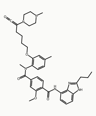 CCCc1nc2c(NC(=O)c3ccc(C(=O)N(C)c4ccc(C)cc4OCCCCC(=C=O)N4CCN(C)CC4)cc3OC)cccc2[nH]1